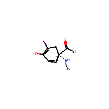 CCC(=O)[C@@]1(NC(C)(C)C)C=CC(O)=C(I)C1